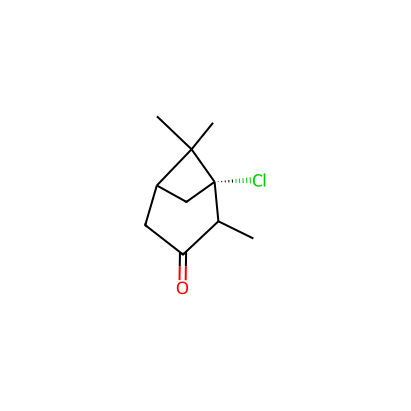 CC1C(=O)CC2C[C@@]1(Cl)C2(C)C